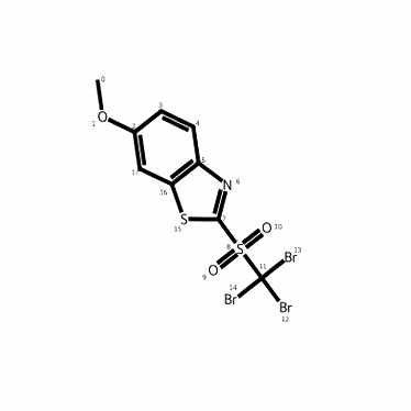 COc1ccc2nc(S(=O)(=O)C(Br)(Br)Br)sc2c1